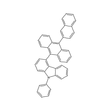 c1ccc(-n2c3ccccc3c3c(-c4c5ccccc5c(-c5ccc6ccccc6c5)c5ccccc45)cccc32)cc1